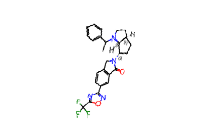 CC(c1ccccc1)N1CC[C@H]2CC[C@H](N3Cc4ccc(-c5noc(C(F)(F)F)n5)cc4C3=O)[C@H]21